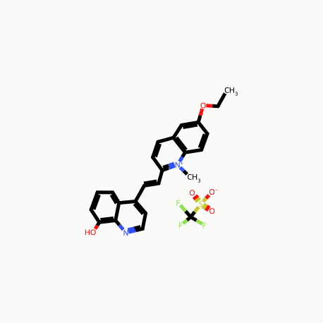 CCOc1ccc2c(ccc(C=Cc3ccnc4c(O)cccc34)[n+]2C)c1.O=S(=O)([O-])C(F)(F)F